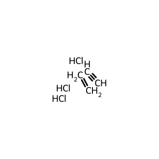 C#C.C=C.Cl.Cl.Cl